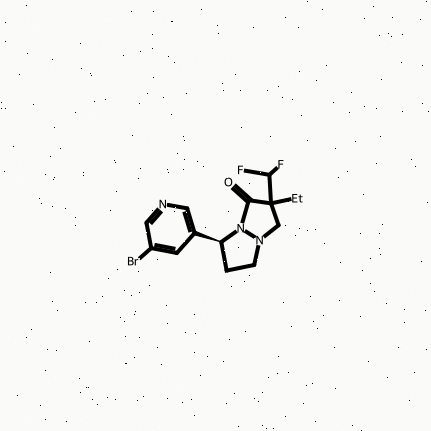 CCC1(C(F)F)CN2CC[C@@H](c3cncc(Br)c3)N2C1=O